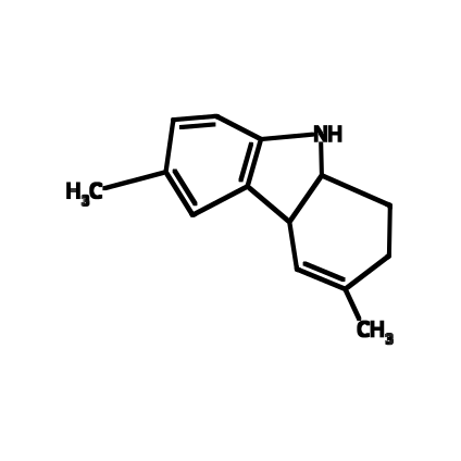 CC1=CC2c3cc(C)ccc3NC2CC1